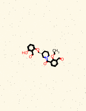 CCOc1c(C=O)cccc1C(=O)N1CCC[C@@H](COc2cccc(O)c2C=O)C1